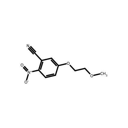 COCCOc1ccc([N+](=O)[O-])c(C#N)c1